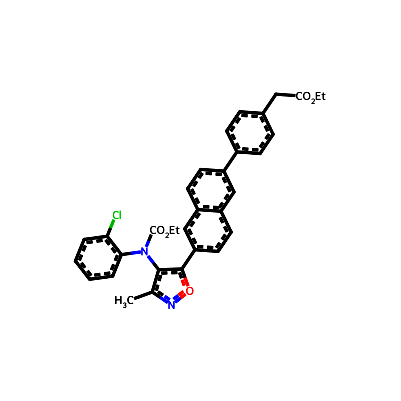 CCOC(=O)Cc1ccc(-c2ccc3cc(-c4onc(C)c4N(C(=O)OCC)c4ccccc4Cl)ccc3c2)cc1